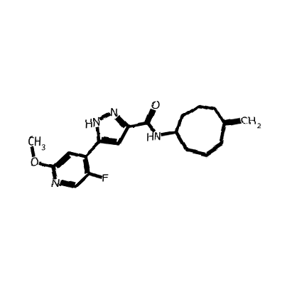 C=C1CCCC(NC(=O)c2cc(-c3cc(OC)ncc3F)[nH]n2)CCC1